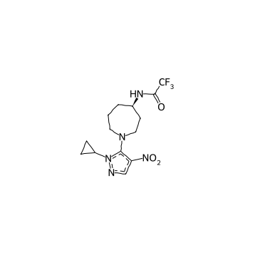 O=C(N[C@@H]1CCCN(c2c([N+](=O)[O-])cnn2C2CC2)CC1)C(F)(F)F